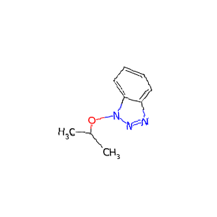 CC(C)On1nnc2ccccc21